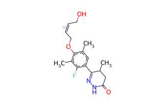 Cc1cc(C2=NNC(=O)CC2C)c(F)c(C)c1OC/C=C\CO